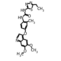 CCc1nnc(NC(=O)Nc2ccc(Oc3ccnc4cc(OC)c(OC)cc34)cc2C)s1